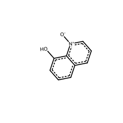 [O-][n+]1cccc2cccc(O)c21